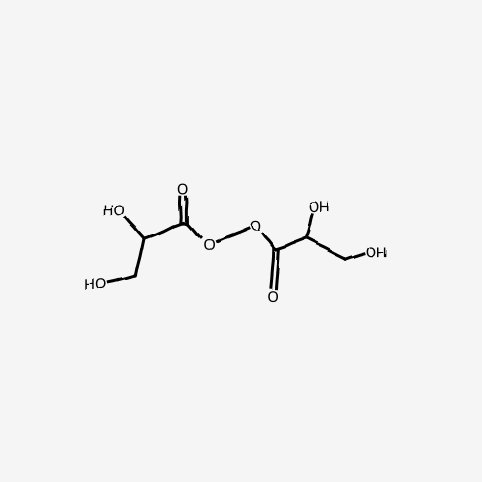 O=C(OOC(=O)C(O)CO)C(O)CO